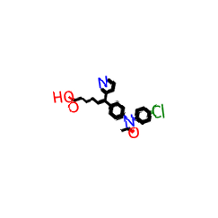 CC(=O)N(c1ccc(Cl)cc1)c1ccc(/C(=C/CCCC(=O)O)c2cccnc2)cc1